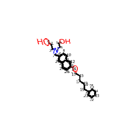 OCCN(CCO)Cc1ccc2cc(OCCCCCc3ccccc3)ccc2c1